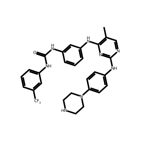 Cc1cnc(Nc2ccc(N3CCNCC3)cc2)nc1Nc1cccc(NC(=O)Nc2cccc(C(F)(F)F)c2)c1